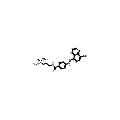 CO[Si](C)(CCCNC(=O)c1ccc(N=Nc2ccc(O)c3ncccc23)cc1)OC